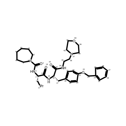 CC(C)C[C@H](NC(=O)N1CCCCCC1)C(=O)N[C@@H](Cc1ccc(OCc2ccccc2)cc1)C(=O)NCCN1CCOCC1